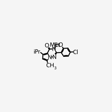 CCn1c(-c2ccc(Cl)cc2OC)nn2c(C)cc(C(C)C)c2c1=O